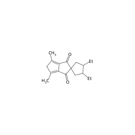 CCC1CC2(CC1CC)C(=O)C1=C(C)CC(C)=C1C2=O